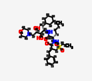 CCCC[C@H](NC(=O)[C@H](Cc1ccccc1)CS(=O)(=O)CC)C(=O)N[C@@H](CC1CCCCC1)[C@@H](O)[C@@H](O)CN1CCOCC1